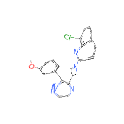 COc1cccc(-c2nccnc2C2CN(c3ccc4cccc(Cl)c4n3)C2)c1